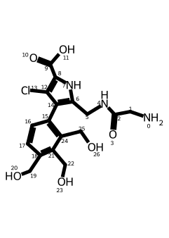 NCC(=O)NCc1[nH]c(C(=O)O)c(Cl)c1-c1ccc(CO)c(CO)c1CO